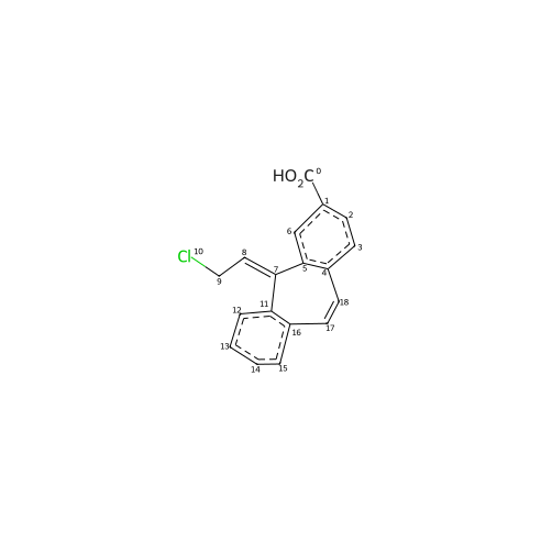 O=C(O)c1ccc2c(c1)/C(=C/CCl)c1ccccc1C=C2